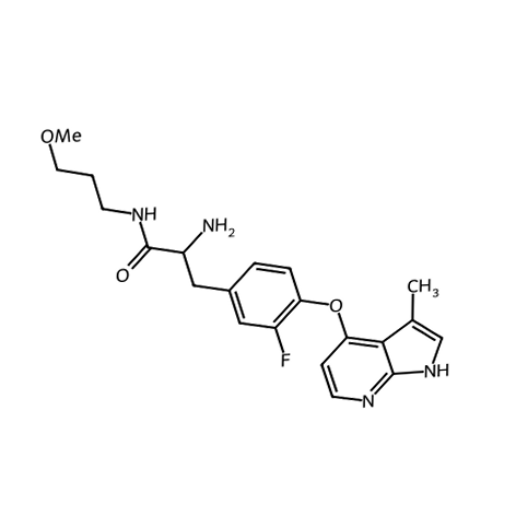 COCCCNC(=O)C(N)Cc1ccc(Oc2ccnc3[nH]cc(C)c23)c(F)c1